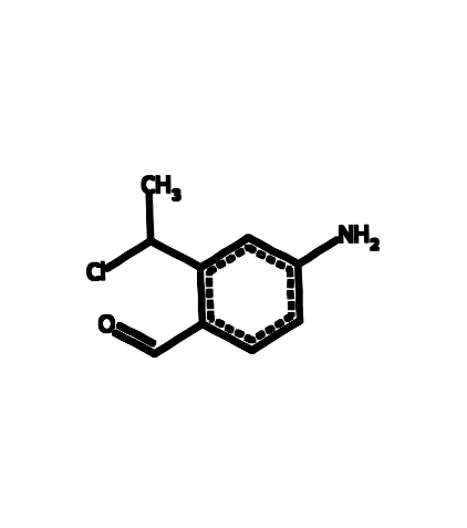 CC(Cl)c1cc(N)ccc1C=O